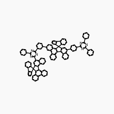 c1ccc(-c2nc(-c3ccccc3)nc(-c3ccc(-c4cc5c(c6ccccc46)-c4c(c6ccc(-c7cccc(-c8nc(-c9ccccc9)nc(-c9cc%10c(c%11ccccc9%11)-c9c(c%11ccccc%11c%11ccccc9%11)C%109c%10ccccc%10-c%10ccccc%109)n8)c7)cc6c6ccccc46)C54c5ccccc5-c5ccccc54)cc3)n2)cc1